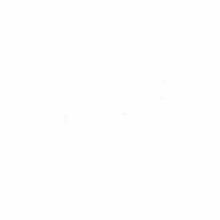 Cl.O=C(CCS(=O)(=O)c1cc2cc(Cl)ccc2[nH]1)N1CCC(c2cnc3ccccn23)CC1